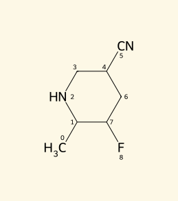 CC1NCC(C#N)CC1F